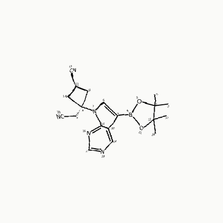 CC1(C)OB(c2cn([C@]3(CC#N)C[C@H](C#N)C3)c3ncncc23)OC1(C)C